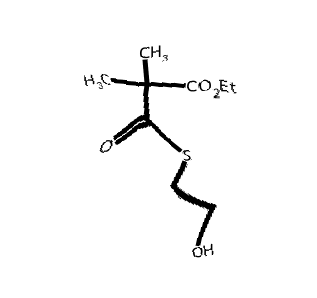 CCOC(=O)C(C)(C)C(=O)SCCO